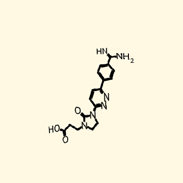 N=C(N)c1ccc(-c2ccc(N3CCN(CCC(=O)O)C3=O)nn2)cc1